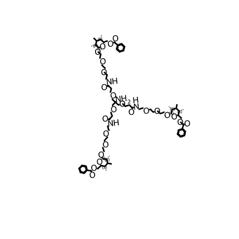 CC1[C@H](C)C(COC(=O)c2ccccc2)O[C@H](OCCOCCOCCNC(=O)CCOCC(N)(COCCC(=O)NCCOCCOCCO[C@H]2OC(COC(=O)c3ccccc3)[C@@H](C)C(C)[C@H]2C)COCCC(=O)NCCOCCOCCO[C@H]2OC(COC(=O)c3ccccc3)[C@@H](C)C(C)[C@H]2C)[C@@H]1C